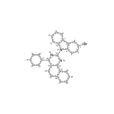 Brc1ccc2c(c1)c1ccccc1n2-c1nc(-c2ccccc2)c2ccc3ccccc3c2n1